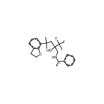 C[C@@H](NCC(O)(CC(C)(C)c1cccc2c1OCC2)C(F)(F)F)c1ccccc1